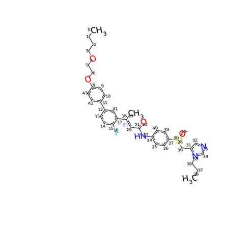 CCCCOCCOc1ccc(-c2ccc(F)c(/C(C)=C/C(=O)Nc3ccc([S@@+]([O-])Cc4cncn4CCC)cc3)c2)cc1